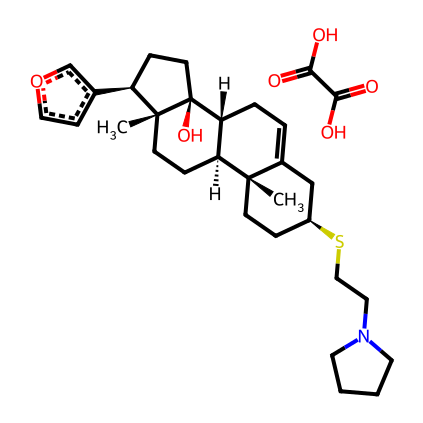 C[C@]12CC[C@H](SCCN3CCCC3)CC1=CC[C@@H]1[C@@H]2CC[C@]2(C)[C@@H](c3ccoc3)CC[C@]12O.O=C(O)C(=O)O